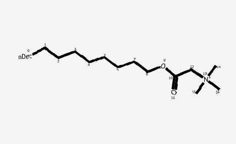 CCCCCCCCCCCCCCCCCCOC(=O)C[N+](C)(C)C